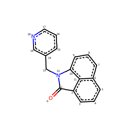 O=C1c2cccc3cccc(c23)N1Cc1cccnc1